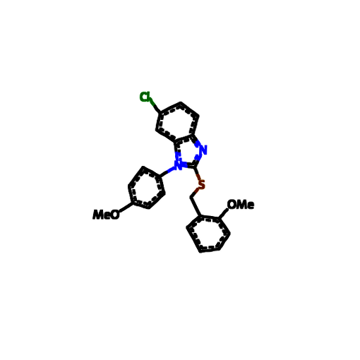 COc1ccc(-n2c(SCc3ccccc3OC)nc3ccc(Cl)cc32)cc1